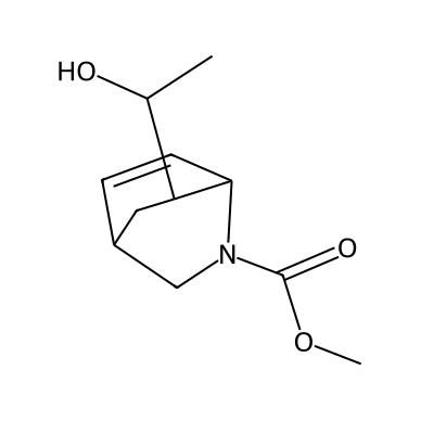 COC(=O)N1CC2C=CC1C(C(C)O)C2